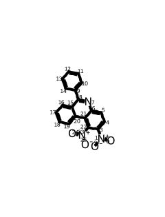 O=[N+]([O-])c1ccc2nc(-c3ccccc3)c3ccccc3c2c1[N+](=O)[O-]